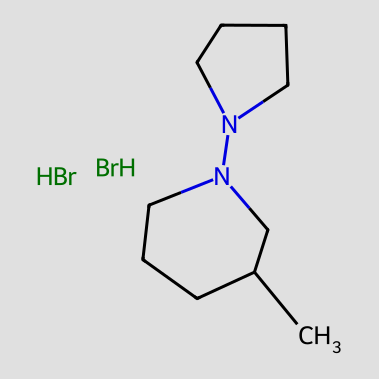 Br.Br.CC1CCCN(N2CCCC2)C1